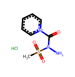 CS(=O)(=O)N(N)C(=O)[n+]1ccccc1.Cl